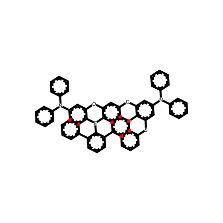 c1ccc(-c2cccc(-c3ccccc3)c2B2c3ccc(N(c4ccccc4)c4ccccc4)cc3Oc3cc4c(cc32)B2c3ccccc3Sc3cc(N(c5ccccc5)c5ccccc5)cc(c32)O4)cc1